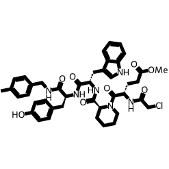 COC(=O)CC[C@H](NC(=O)CCl)C(=O)N1CCCC[C@H]1C(=O)N[C@@H](Cc1c[nH]c2ccccc12)C(=O)N[C@@H](Cc1ccc(O)cc1)C(=O)NCc1ccc(C)cc1